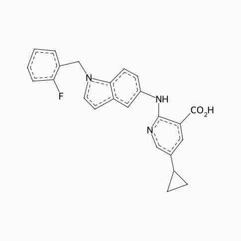 O=C(O)c1cc(C2CC2)cnc1Nc1ccc2c(ccn2Cc2ccccc2F)c1